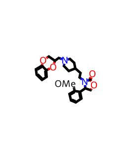 COc1ccccc1C1COC(=O)N1CCC1CCN(CC2COc3ccccc3O2)CC1